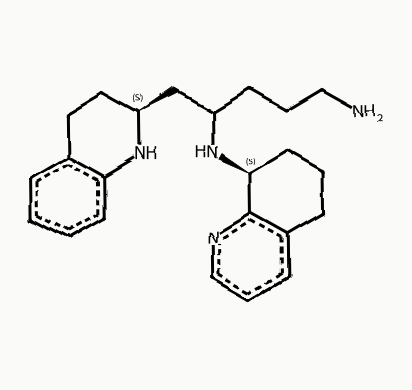 NCCCC(C[C@@H]1CCc2ccccc2N1)N[C@H]1CCCc2cccnc21